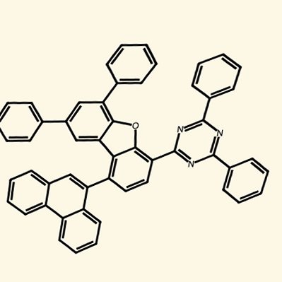 c1ccc(-c2cc(-c3ccccc3)c3oc4c(-c5nc(-c6ccccc6)nc(-c6ccccc6)n5)ccc(-c5cc6ccccc6c6ccccc56)c4c3c2)cc1